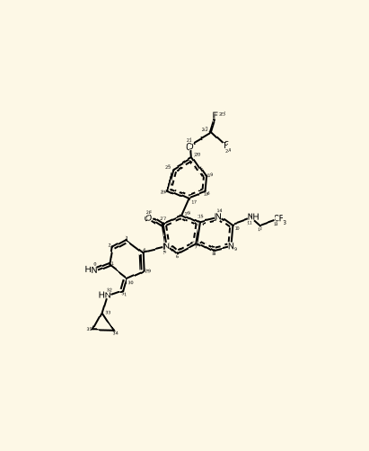 N=C1C=CC(n2cc3cnc(NCC(F)(F)F)nc3c(-c3ccc(OC(F)F)cc3)c2=O)=C/C1=C/NC1CC1